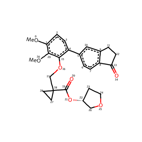 COc1ccc(-c2ccc3c(c2)CCC3=O)c(OCC2(C(=O)O[C@@H]3CCOC3)CC2)c1OC